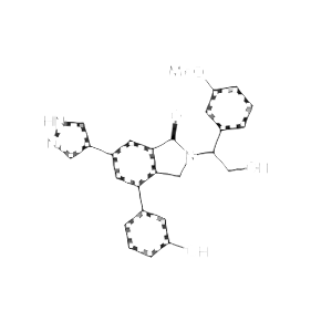 COc1cccc(C(CO)N2Cc3c(cc(-c4cn[nH]c4)cc3-c3cccc(O)c3)C2=O)c1